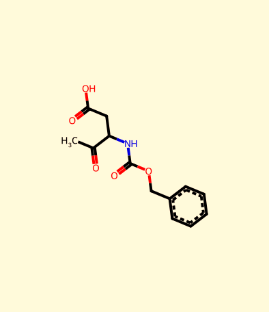 CC(=O)C(CC(=O)O)NC(=O)OCc1ccccc1